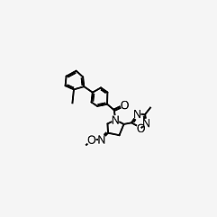 CON=C1CC(c2nc(C)no2)N(C(=O)c2ccc(-c3ccccc3C)cc2)C1